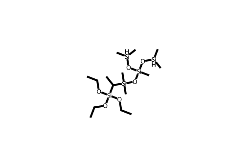 CCO[Si](OCC)(OCC)C(C)[Si](C)(C)O[Si](C)(O[SiH](C)C)O[SiH](C)C